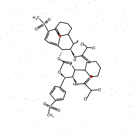 CS(=O)(=O)c1ccc([C@@H](OC(=O)O[C@H](c2ccc(S(C)(=O)=O)cc2)[C@H](NC(=O)C(Cl)Cl)C(F)C2CCCCC2)[C@H](NC(=O)C(Cl)Cl)C(F)C2CCCCC2)cc1